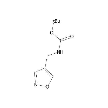 CC(C)(C)OC(=O)NCc1cnoc1